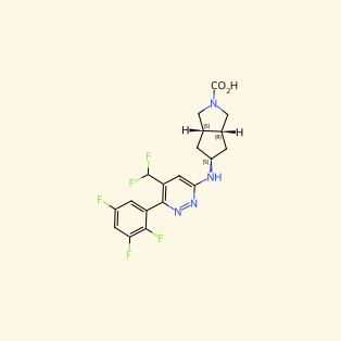 O=C(O)N1C[C@H]2C[C@H](Nc3cc(C(F)F)c(-c4cc(F)cc(F)c4F)nn3)C[C@H]2C1